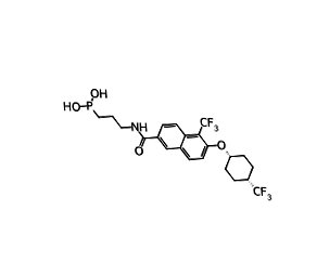 O=C(NCCCP(O)O)c1ccc2c(C(F)(F)F)c(O[C@H]3CC[C@@H](C(F)(F)F)CC3)ccc2c1